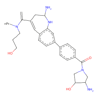 C=C(C1=Cc2ccc(-c3ccc(C(=O)N4CC(N)C(O)C4)cc3)cc2NC(N)C1)N(CCC)CCCO